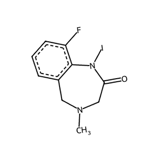 CN1CC(=O)N(I)c2c(F)cccc2C1